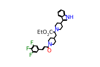 CCOC(=O)C(CC1CCN(C(=O)C=Cc2cc(F)c(F)c(F)c2)CC1)N1CCC(c2c[nH]c3ccccc23)CC1